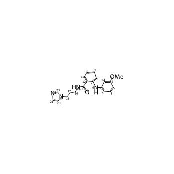 COc1cccc(Nc2ccccc2C(=O)NCCCn2ccnc2)c1